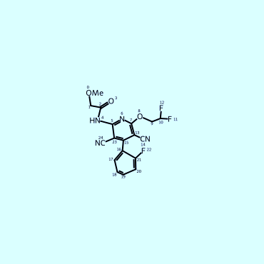 COCC(=O)Nc1nc(OCC(F)F)c(C#N)c(-c2ccccc2F)c1C#N